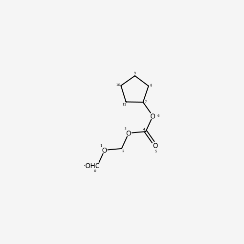 O=[C]OCOC(=O)OC1CCCC1